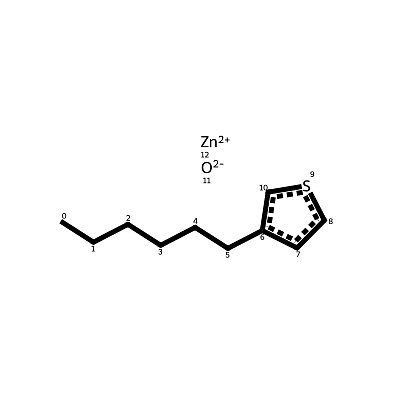 CCCCCCc1ccsc1.[O-2].[Zn+2]